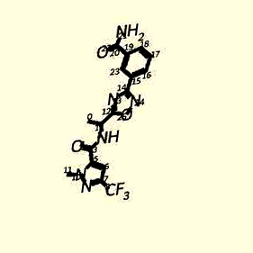 CC(NC(=O)c1cc(C(F)(F)F)nn1C)c1nc(-c2cccc(C(N)=O)c2)no1